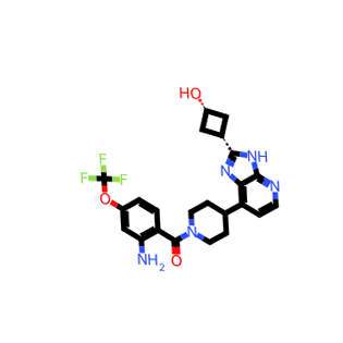 Nc1cc(OC(F)(F)F)ccc1C(=O)N1CCC(c2ccnc3[nH]c([C@H]4C[C@@H](O)C4)nc23)CC1